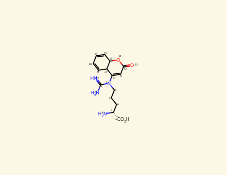 N=C(N)N(CCC[C@@H](N)C(=O)O)C1=CC(=O)OC2C=CC=CC12